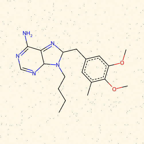 CCCCN1C(Cc2cc(C)c(OC)c(OC)c2)N=C2C(N)=NC=NC21